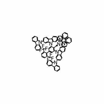 N#Cc1c(-n2c3cc(-n4c5ccccc5c5ccccc54)ccc3c3ccc(-n4c5ccccc5c5ccccc54)cc32)cc(-c2c(C(F)(F)F)cccc2C(F)(F)F)cc1-n1c2cc(-n3c4ccccc4c4ccccc43)ccc2c2ccc(-n3c4ccccc4c4ccccc43)cc21